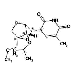 COC[C@@]12COC([C@H](n3cc(C)c(=O)[nH]c3=O)O1)[C@@H]2OC(C)C